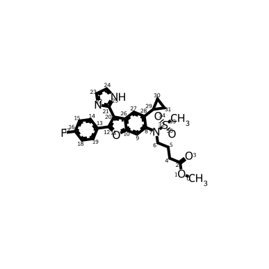 COC(=O)CCCN(c1cc2oc(-c3ccc(F)cc3)c(-c3ncc[nH]3)c2cc1C1CC1)S(C)(=O)=O